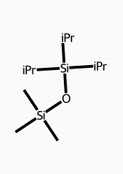 CC(C)[Si](O[Si](C)(C)C)(C(C)C)C(C)C